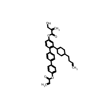 C=CCCC1CCC(c2cc(OC(=O)C(=C)CO)ccc2-c2ccc(-c3ccc(OC(=O)C=C)cc3)cc2)CC1